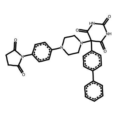 O=C1NC(=O)C(c2ccc(-c3ccccc3)cc2)(N2CCN(c3ccc(N4C(=O)CCC4=O)cc3)CC2)C(=O)N1